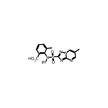 Cc1cnc2nc(S(=O)(=O)N(c3c(C)cccc3C(=O)O)C(C)C)nn2c1